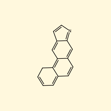 C1=CCc2c(ccc3cc4c(cc23)C=CN=4)=C1